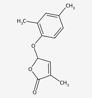 CC1=CC(Oc2ccc(C)cc2C)OC1=O